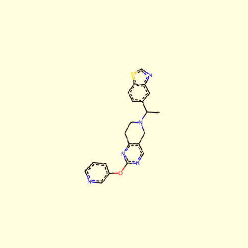 CC(c1ccc2scnc2c1)N1CCc2nc(Oc3cccnc3)ncc2C1